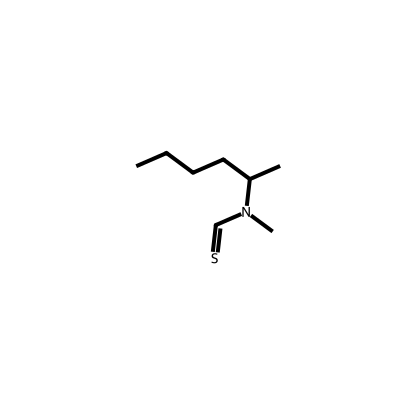 CCCCC(C)N(C)C=S